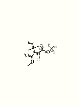 C=CC(C)(C)C(C(=O)OC)N(C)C(=O)OC(C)(C)C